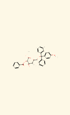 COc1ccc(C(OCC2OC(OC)C(OC(=O)c3ccccc3)C(O)C2C)(c2ccccc2)c2ccccc2)cc1